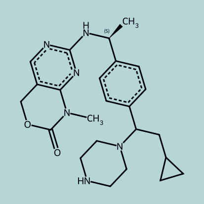 C[C@H](Nc1ncc2c(n1)N(C)C(=O)OC2)c1ccc(C(CC2CC2)N2CCNCC2)cc1